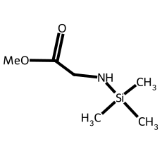 COC(=O)CN[Si](C)(C)C